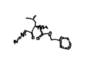 CC(C)[C@@H](NC(=O)OCc1ccccc1)C(=O)C=[N+]=[N-]